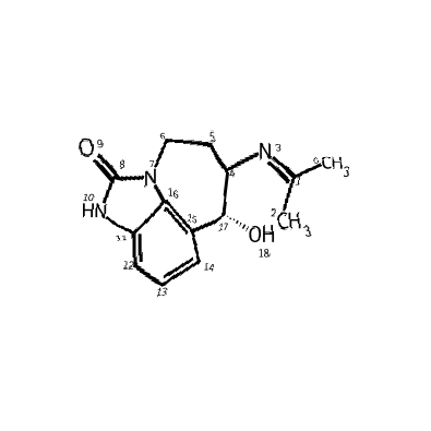 CC(C)=NC1CCn2c(=O)[nH]c3cccc(c32)[C@H]1O